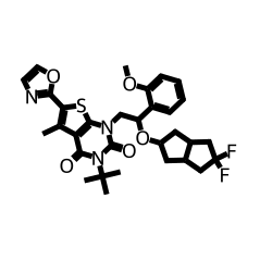 COc1ccccc1C(Cn1c(=O)n(C(C)(C)C)c(=O)c2c(C)c(-c3ncco3)sc21)OC1CC2CC(F)(F)CC2C1